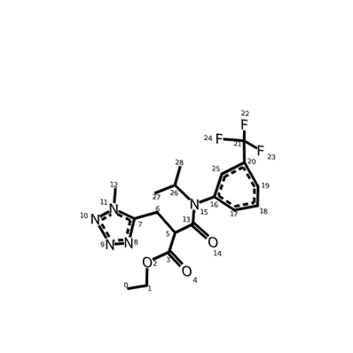 CCOC(=O)C(Cc1nnnn1C)C(=O)N(c1cccc(C(F)(F)F)c1)C(C)C